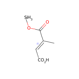 C/C(=C\C(=O)O)C(=O)O[SiH3]